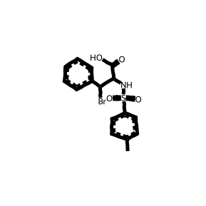 Cc1ccc(S(=O)(=O)NC(C(=O)O)C(Br)c2ccccc2)cc1